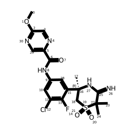 COc1cnc(C(=O)Nc2cc(Cl)c(F)c([C@]3(C)CS(=O)(=O)C(C)(C)C(=N)N3)c2)cn1